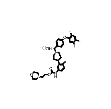 Cc1ccc(NC(=O)OCCN2CCOCC2)cc1C1CCN(Cc2ccc(Oc3cc(F)c(F)cc3F)cc2)CC1.Cl.Cl